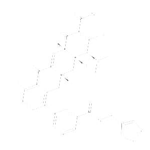 CN(C)[C@@H]1C(O)=C(C(N)=O)C(=O)[C@@]2(O)C(O)=C3C(=O)c4c(O)ccc(-c5cccc(C(=O)NCc6ccco6)c5)c4C[C@H]3C[C@@H]12